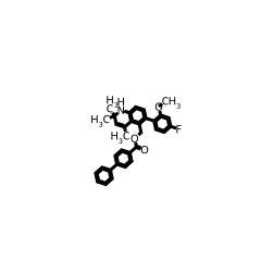 COc1cc(F)ccc1-c1ccc2c(c1COC(=O)c1ccc(-c3ccccc3)cc1)C(C)=CC(C)(C)N2